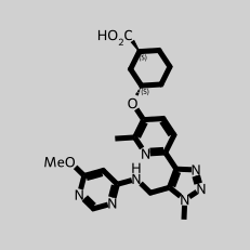 COc1cc(NCc2c(-c3ccc(O[C@H]4CCC[C@H](C(=O)O)C4)c(C)n3)nnn2C)ncn1